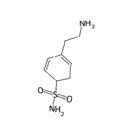 NCCC1=CCC(S(N)(=O)=O)C=C1